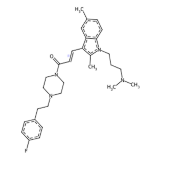 Cc1ccc2c(c1)c(/C=C/C(=O)N1CCN(CCc3ccc(F)cc3)CC1)c(C)n2CCCN(C)C